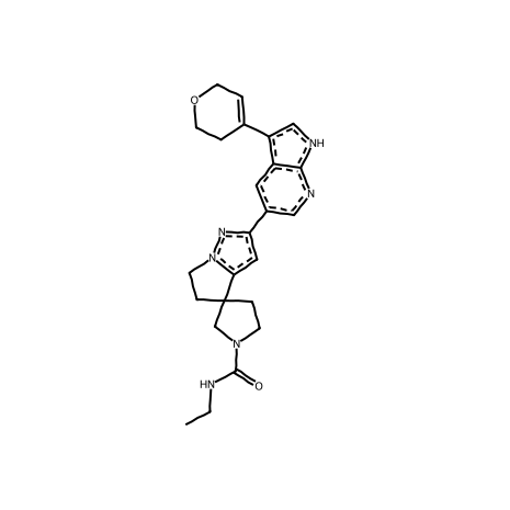 CCNC(=O)N1CCC2(CCn3nc(-c4cnc5[nH]cc(C6=CCOCC6)c5c4)cc32)C1